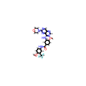 COc1ccc(C(=O)Nc2ccc(OC)c(C(F)(F)F)c2)cc1Nc1ncnc2cnc(N3CCOCC3)nc12